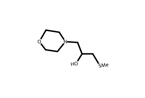 CSCC(O)CN1CCOCC1